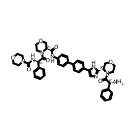 N[C@@H](C(=O)N1CCOC[C@H]1c1ncc(-c2ccc(-c3ccc(NC(=O)[C@@H]4COCCN4C(=O)[C@H](NC(=O)N4CCOCC4)c4ccccc4)cc3)cc2)[nH]1)c1ccccc1